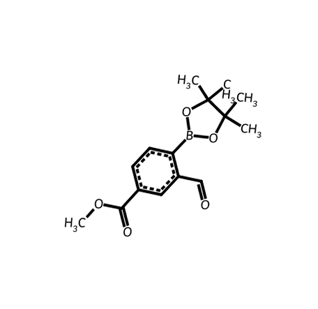 COC(=O)c1ccc(B2OC(C)(C)C(C)(C)O2)c(C=O)c1